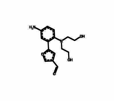 Nc1ccc(N(CCO)CCO)c(-c2cc(C=O)co2)c1